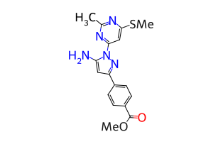 COC(=O)c1ccc(-c2cc(N)n(-c3cc(SC)nc(C)n3)n2)cc1